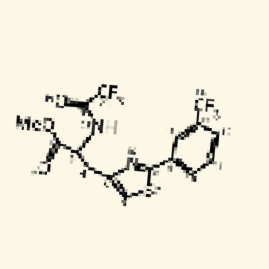 COC(=O)C(Cc1csc(-c2cccc(C(F)(F)F)c2)n1)NC(=O)C(F)(F)F